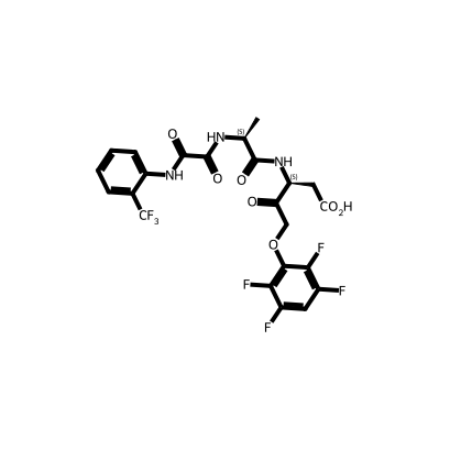 C[C@H](NC(=O)C(=O)Nc1ccccc1C(F)(F)F)C(=O)N[C@@H](CC(=O)O)C(=O)COc1c(F)c(F)cc(F)c1F